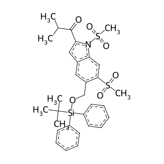 CC(C)C(=O)c1cc2cc(CO[Si](c3ccccc3)(c3ccccc3)C(C)(C)C)c(S(C)(=O)=O)cc2n1S(C)(=O)=O